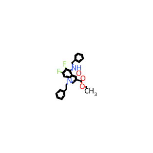 CCOC(=O)c1cn(CCc2ccccc2)c2cc(F)c(F)c(NCc3ccccc3)c2c1=O